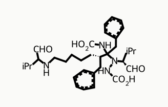 CC(C)C(C=O)NCCCCC[C@@H](Cc1ccccc1)C(Cc1ccccc1)(NC(=O)O)N(NC(=O)O)[C@H](C=O)C(C)C